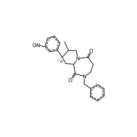 CC1CN2C(=O)CCN(Cc3ccccc3)C(=O)C2C[C@@]1(C)c1cccc(N=O)c1